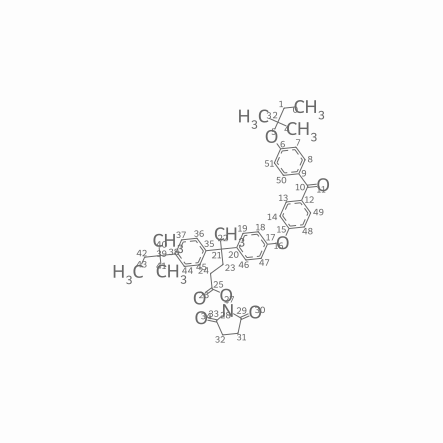 CCC(C)(C)Oc1ccc(C(=O)c2ccc(Oc3ccc(C(C)(CCC(=O)ON4C(=O)CCC4=O)c4ccc(C(C)(C)CC)cc4)cc3)cc2)cc1